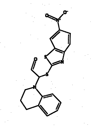 O=CC(Sc1nc2ccc([N+](=O)[O-])cc2s1)N1CCCc2ccccc21